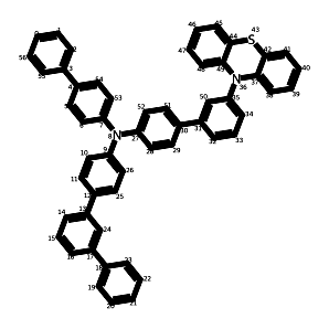 c1ccc(-c2ccc(N(c3ccc(-c4cccc(-c5ccccc5)c4)cc3)c3ccc(-c4cccc(N5c6ccccc6Sc6ccccc65)c4)cc3)cc2)cc1